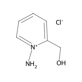 N[n+]1ccccc1CO.[Cl-]